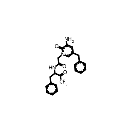 Nc1cc(Cc2ccccc2)cn(CC(=O)NC(Cc2ccccc2)C(=O)C(F)(F)F)c1=O